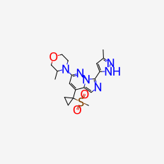 Cc1cc(-c2ncc3c(C4(S(C)(=O)=O)CC4)cc(N4CCOCC4C)nn23)[nH]n1